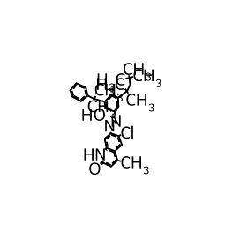 Cc1cc(=O)[nH]c2cc(N=Nc3cc(C(C)(C)CC(C)(C)C)cc(C(C)(C)c4ccccc4)c3O)c(Cl)cc12